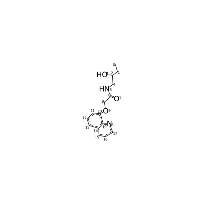 CCC(O)CNC(=O)COc1cccc2cccnc12